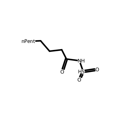 CCCCCCCCC(=O)N[SH](=O)=O